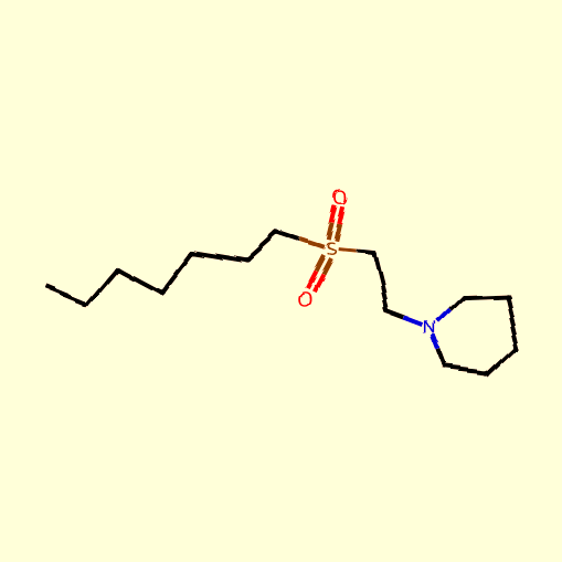 CCCCCCCS(=O)(=O)CCN1CCCCC1